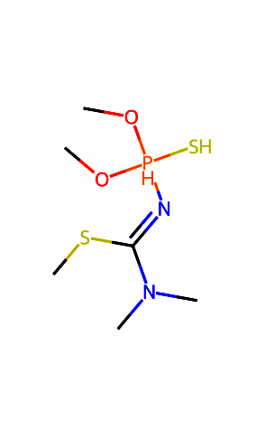 CO[PH](S)(N=C(SC)N(C)C)OC